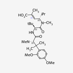 CN[C@H](C(=O)N[C@H](C(=O)N(C)[C@H](/C=C(\C)C(=O)O)C(C)C)C(C)(C)C)C(C)(C)c1ccc(OC)cc1OC